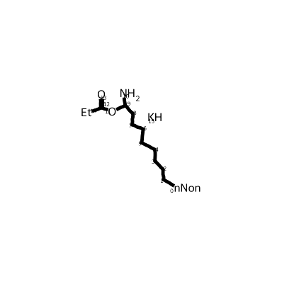 CCCCCCCCCCCCCCCCCC(N)OC(=O)CC.[KH]